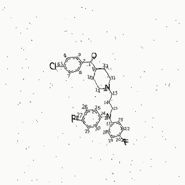 O=C(c1ccc(Cl)cc1)C1CCN(CCCN(c2ccc(F)cc2)c2ccc(F)cc2)CC1